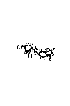 O=C(Oc1ccc2c(=O)ccoc2c1)c1ccc(Cl)cc1Cl